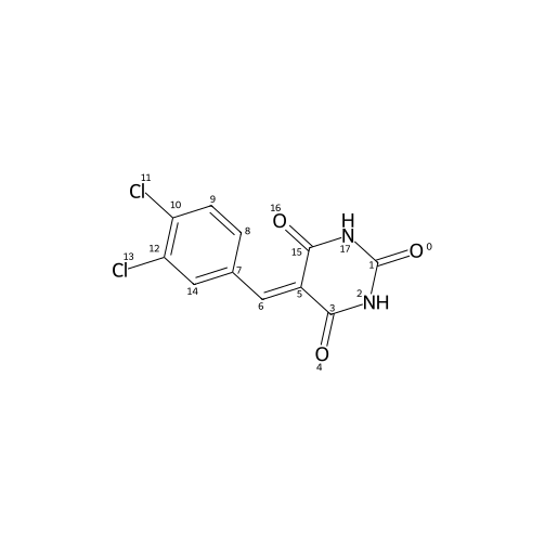 O=C1NC(=O)C(=Cc2ccc(Cl)c(Cl)c2)C(=O)N1